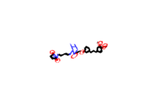 COc1ccc(CCCc2cccc(OCC(=O)NCCCCN3C(=O)C=CC3=O)c2)cc1OC